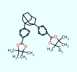 CC1(C)OB(c2ccc(C34CC5CC(C3)CC(c3ccc(B6OC(C)(C)C(C)(C)O6)cc3)(C5)C4)cc2)OC1(C)C